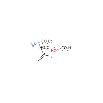 C=C(C)C(=O)O.CCOC(N)=O.O=C(O)O